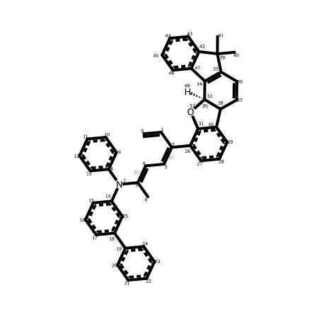 C=C/C(=C\C=C(/C)N(c1ccccc1)c1cccc(-c2ccccc2)c1)c1cccc2c1O[C@H]1C3=C(C=CC21)C(C)(C)c1ccccc13